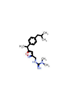 CC(C)Cc1ccc(C(C)c2cc(CNC(=N)N(C)C)no2)cc1